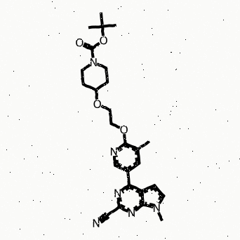 Cc1cc(-c2nc(C#N)nc3c2ccn3C)cnc1OCCOC1CCN(C(=O)OC(C)(C)C)CC1